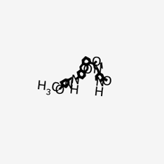 COc1ccc(CNc2ccc3c(c2)Cc2cccc(C4CN(c5cc[nH]c(=O)c5)CCO4)c2O3)nc1